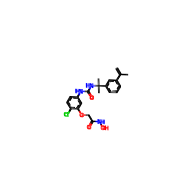 C=C(C)c1cccc(C(C)(C)NC(=O)Nc2ccc(Cl)c(OCC(=O)NO)c2)c1